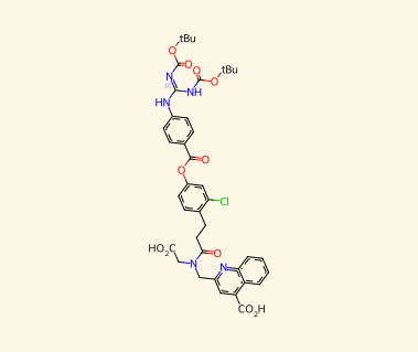 CC(C)(C)OC(=O)/N=C(\NC(=O)OC(C)(C)C)Nc1ccc(C(=O)Oc2ccc(CCC(=O)N(CC(=O)O)Cc3cc(C(=O)O)c4ccccc4n3)c(Cl)c2)cc1